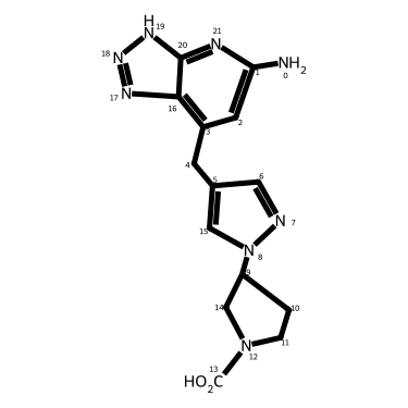 Nc1cc(Cc2cnn(C3CCN(C(=O)O)C3)c2)c2nn[nH]c2n1